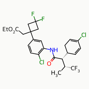 CCOC(=O)CC1(c2ccc(Cl)c(NC(=O)[C@H](C3C=CC(Cl)=CC3)[C@@H](C)C(F)(F)F)c2)CC(F)(F)C1